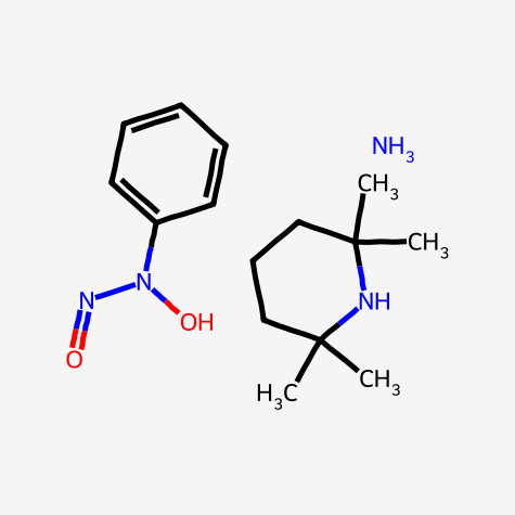 CC1(C)CCCC(C)(C)N1.N.O=NN(O)c1ccccc1